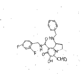 C[C@H]1CC(NCc2ccccc2)c2c(C(=O)NCc3ccc(F)cc3F)c(=O)c(O)c(C=O)n21